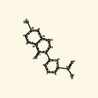 O=c1c(-c2cccc([N+](=O)[O-])c2)coc2cc(O)ccc12